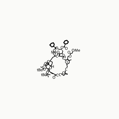 C=C1CC2CCC(=O)/C=C/C(O[Si](C)(C)C(C)(C)C)[C@@H]3O[C@H]4CCC(CC(=O)C[C@H]5[C@H](CC6OC(CCC1O2)CC(C)=C6COC(=O)COC)OC(C[C@@H](COC(=O)c1ccccc1)OC(=O)c1ccccc1)[C@@H]5OC)O[C@@H]4[C@H](O)C3O[Si](C)(C)C(C)(C)C